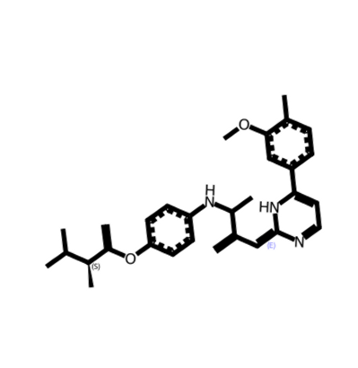 C=C(/C=C1/N=CC=C(c2ccc(C)c(OC)c2)N1)C(C)Nc1ccc(OC(=C)[C@@H](C)C(C)C)cc1